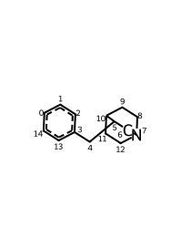 c1ccc(CC2CN3CCC2CC3)cc1